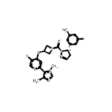 Cc1ncn(C)c1-c1cc(OC2CN(C(=O)N3N=CC[C@H]3c3cc(F)cc(C#N)c3)C2)c(F)cn1